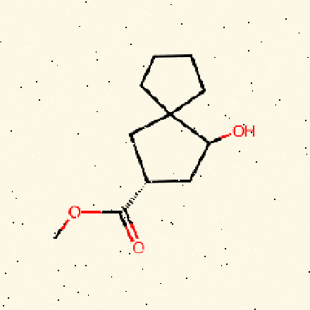 COC(=O)[C@H]1CC(O)C2(CCCC2)C1